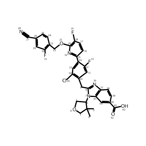 CC1(C)COCC1n1c(Cc2cc(F)c(-c3ccc(F)c(OCc4ccc(C#N)cc4F)n3)cc2Cl)nc2ccc(C(=O)O)cc21